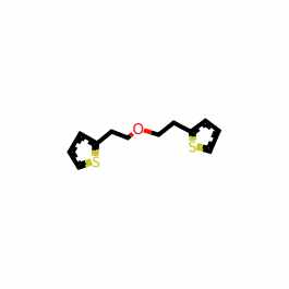 c1csc(CCOCCc2cccs2)c1